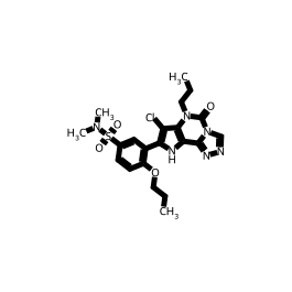 CCCOc1ccc(S(=O)(=O)N(C)C)cc1-c1[nH]c2c(c1Cl)n(CCC)c(=O)n1cnnc21